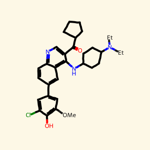 CCN(CC)C1CCC(Nc2c(C(=O)C3CCCC3)cnc3ccc(-c4cc(Cl)c(O)c(OC)c4)cc23)CC1